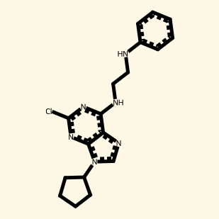 Clc1nc(NCCNc2ccccc2)c2ncn(C3CCCC3)c2n1